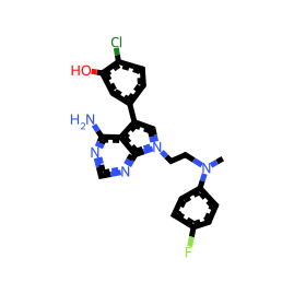 CN(CCn1cc(-c2ccc(Cl)c(O)c2)c2c(N)ncnc21)c1ccc(F)cc1